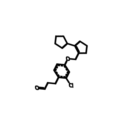 O=CCCc1ccc(OCC2=C(C3CCCC3)CCC2)cc1Cl